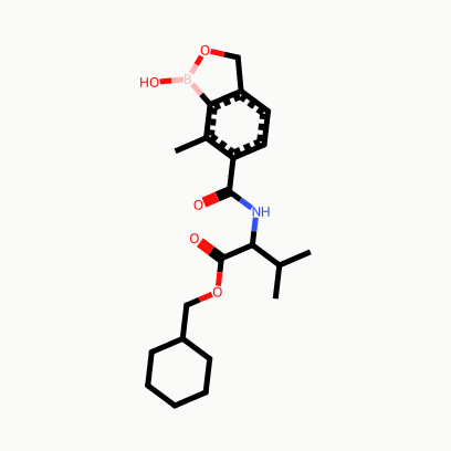 Cc1c(C(=O)NC(C(=O)OCC2CCCCC2)C(C)C)ccc2c1B(O)OC2